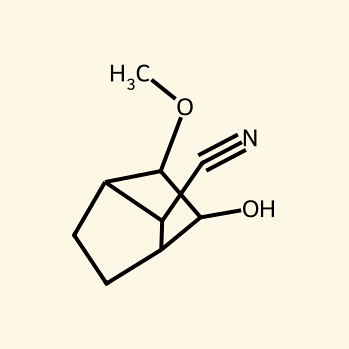 COC1C(O)C2CCC1C2C#N